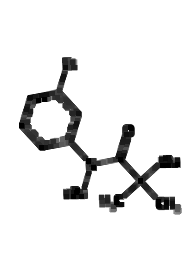 CCCCN(C(=O)C(C)(C)C(C)(C)C)c1cccc(CC)c1